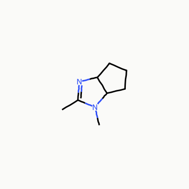 CC1=NC2CCCC2N1C